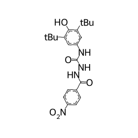 CC(C)(C)c1cc(NC(=O)NNC(=O)c2ccc([N+](=O)[O-])cc2)cc(C(C)(C)C)c1O